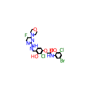 O=C(COc1ccc(/C=N\NC2=NC(N3CCOCC3)C(F)C=N2)c(O)c1Cl)Nc1cc(Br)cc(Cl)c1O